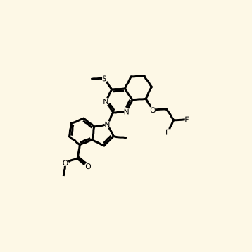 COC(=O)c1cccc2c1cc(C)n2-c1nc(SC)c2c(n1)C(OCC(F)F)CCC2